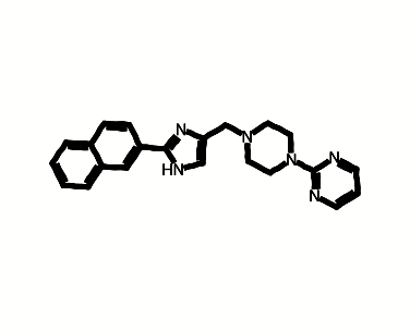 c1cnc(N2CCN(Cc3c[nH]c(-c4ccc5ccccc5c4)n3)CC2)nc1